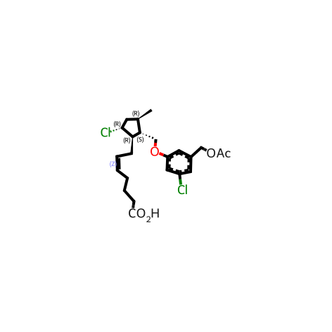 CC(=O)OCc1cc(Cl)cc(OC[C@@H]2[C@@H](C/C=C\CCCC(=O)O)[C@H](Cl)C[C@H]2C)c1